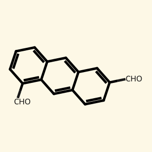 O=Cc1ccc2cc3c(C=O)cccc3cc2c1